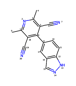 Cc1nc(C)c(C#N)c(-c2ccc3[nH]ncc3c2)c1C#N